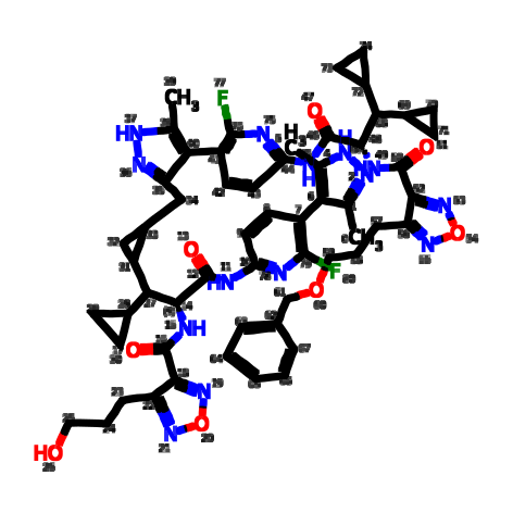 Cc1n[nH]c(C)c1-c1ccc(NC(=O)[C@@H](NC(=O)c2nonc2CCCO)C(C2CC2)C2CC2Cc2n[nH]c(C)c2-c2ccc(NC(=O)[C@@H](NC(=O)c3nonc3CCCOCc3ccccc3)C(C3CC3)C3CC3)nc2F)nc1F